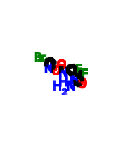 NC1=NC(c2cccc(NC(=O)Oc3ccc(Br)cn3)c2)(C(F)F)COC1